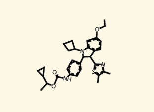 CCOc1ccc2c(c1)N(C1CCC1)C(c1ccc(NC(=O)OC(C)C3CC3)cc1)C2c1nc(C)c(C)s1